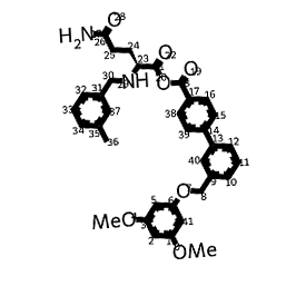 COc1cc(OC)cc(OCc2cccc(-c3ccc(C(=O)OC(=O)[C@H](CCC(N)=O)NCc4cccc(C)c4)cc3)c2)c1